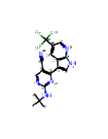 CC(C)(C)Nc1ncc(C#N)c(-c2c[nH]c3ncc(C(F)(F)F)cc23)n1